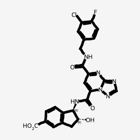 O=C(O)c1ccc2c(c1)C[C@@H](O)[C@@H]2NC(=O)c1cc(C(=O)NCc2ccc(F)c(Cl)c2)nc2ncnn12